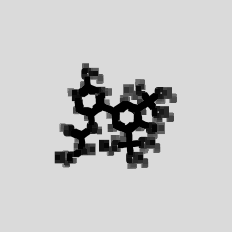 CNC(=O)Oc1cnc(C)nc1-c1cc(C(C)(C)C)c(O)c(C(C)(C)C)c1